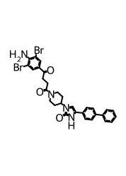 Nc1c(Br)cc(C(=O)CCC(=O)N2CCC(n3cc(-c4ccc(-c5ccccc5)cc4)[nH]c3=O)CC2)cc1Br